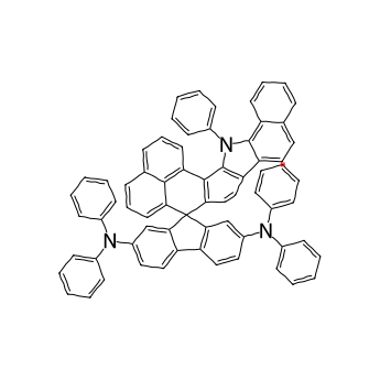 c1ccc(N(c2ccccc2)c2ccc3c(c2)C2(c4cc(N(c5ccccc5)c5ccccc5)ccc4-3)c3ccc4c5ccc6ccccc6c5n(-c5ccccc5)c4c3-c3cccc4cccc2c34)cc1